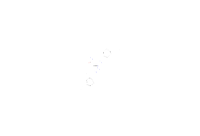 CC(c1ccc(C2CC2)cc1)N1C(C(F)(F)F)C(C(N)=O)=C2N(Cc3ccc(C(F)(F)F)cc3)CCN21